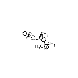 Cc1noc(C)c1-c1cnc2c(c1)c(CC1CCN(S(=O)(=O)c3ccccc3)CC1)cn2C